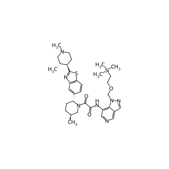 C[C@H]1CC[C@H](c2ccc3sc([C@@H]4CCN(C)C[C@H]4C)nc3c2)N(C(=O)C(=O)Nc2cncc3cnn(COCC[Si](C)(C)C)c23)C1